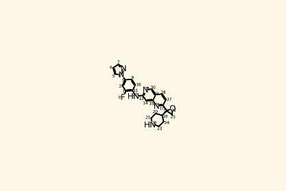 Fc1cc(-n2cccn2)ccc1Nc1cc2nc(C3(C4CCNCC4)CO3)ccc2cn1